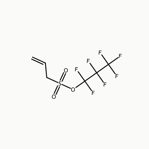 C=CCS(=O)(=O)OC(F)(F)C(F)(F)C(F)(F)F